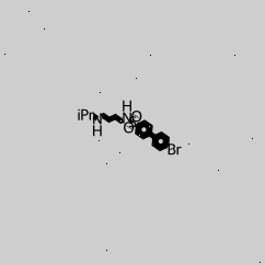 CC(C)NCCCCNS(=O)(=O)c1ccc(-c2ccc(Br)cc2)cc1